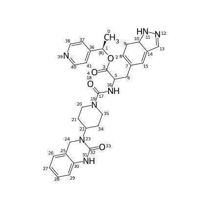 C[C@@H](OC(=O)C(CC1=CCC2NN=CC2=C1)NC(=O)N1CCC(N2Cc3ccccc3NC2=O)CC1)c1ccncc1